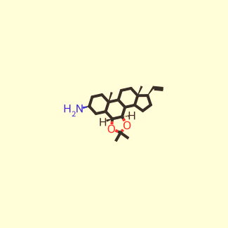 C=C[C@H]1CCC2C3C(CC[C@@]21C)[C@@]1(C)CC[C@H](N)CC1[C@H]1OC(C)(C)O[C@H]31